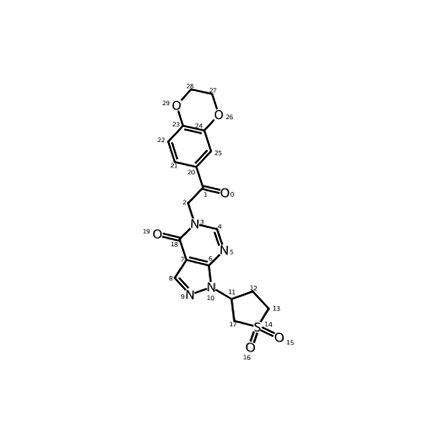 O=C(Cn1cnc2c(cnn2C2CCS(=O)(=O)C2)c1=O)c1ccc2c(c1)OCCO2